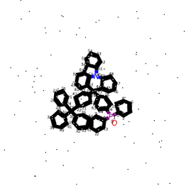 O=P(c1ccccc1)(c1ccccc1)c1ccc(C2(c3ccc(C(c4ccccc4)(c4ccccc4)c4ccccc4)cc3)c3ccccc3-n3c4ccccc4c4cccc2c43)cc1